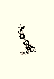 CC(C)(C)OC(=O)C1(S(=O)(=O)N2CCN(c3ccc(OC(F)(F)C(F)F)cc3)CC2)CCOCC1